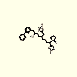 O=C1CCCN1C(CCCC(CCC(O)Cc1cccc(-c2ccccc2)c1)Cc1nn[nH]n1)c1nn[nH]n1